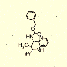 CC(C)[C@H]1Nc2cccnc2[C@@H](NC(=O)OCc2ccccc2)[C@@H]1C